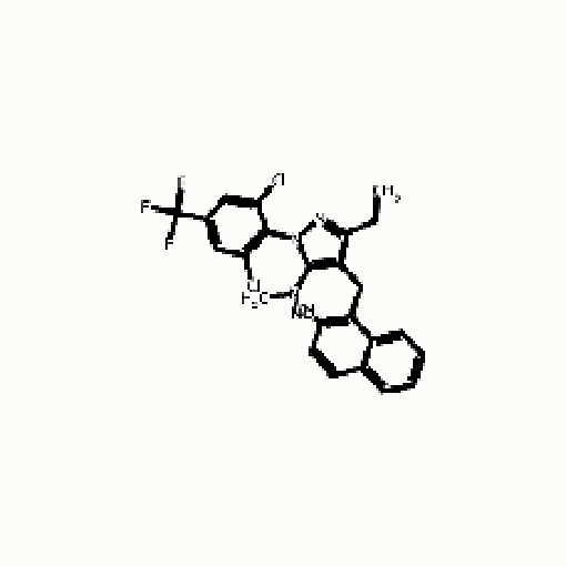 CCc1nn(-c2c(Cl)cc(C(F)(F)F)cc2Cl)c(N(C)C)c1Cc1c(O)ccc2ccccc12